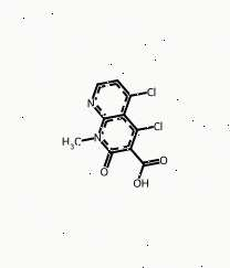 Cn1c(=O)c(C(=O)O)c(Cl)c2c(Cl)ccnc21